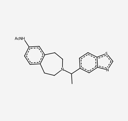 CC(=O)Nc1ccc2c(c1)CCN(C(C)c1ccc3scnc3c1)CC2